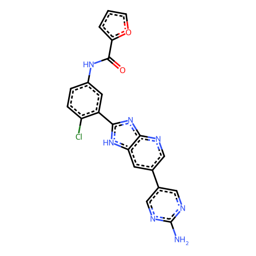 Nc1ncc(-c2cnc3nc(-c4cc(NC(=O)c5ccco5)ccc4Cl)[nH]c3c2)cn1